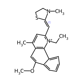 CC[n+]1c(/C=C2\SCCN2C)cc(C)c2cc(OC)c3ccccc3c21